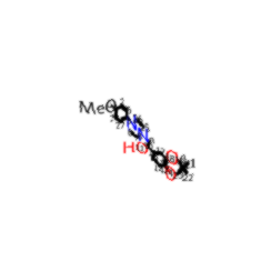 COc1ccc(N2CCN(CC(O)c3ccc4c(c3)OCC(C)(C)CO4)CC2)cc1